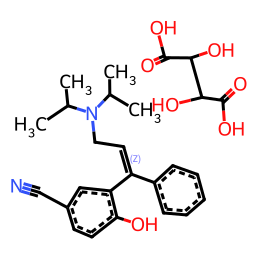 CC(C)N(C/C=C(/c1ccccc1)c1cc(C#N)ccc1O)C(C)C.O=C(O)C(O)C(O)C(=O)O